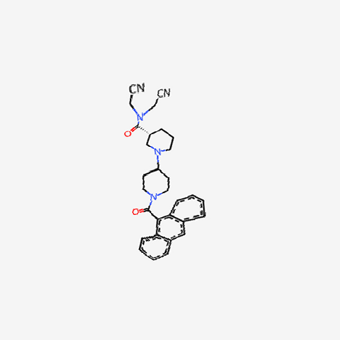 N#CCN(CC#N)C(=O)[C@@H]1CCCN(C2CCN(C(=O)c3c4ccccc4cc4ccccc34)CC2)C1